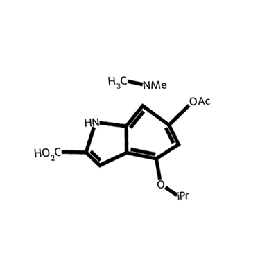 CC(=O)Oc1cc(OC(C)C)c2cc(C(=O)O)[nH]c2c1.CNC